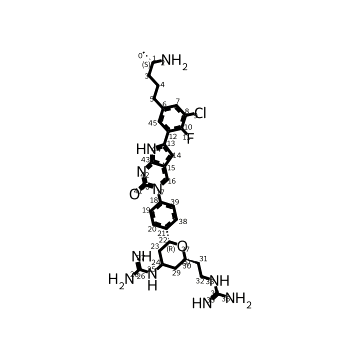 C[C@H](N)CCCc1cc(Cl)c(F)c(-c2cc3cn(-c4ccc([C@H]5CC(NC(=N)N)C[C@H](CCNC(=N)N)O5)cc4)c(=O)nc3[nH]2)c1